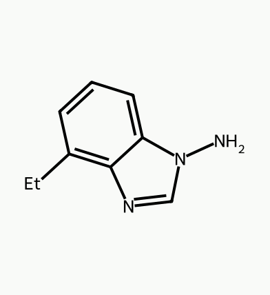 CCc1cccc2c1ncn2N